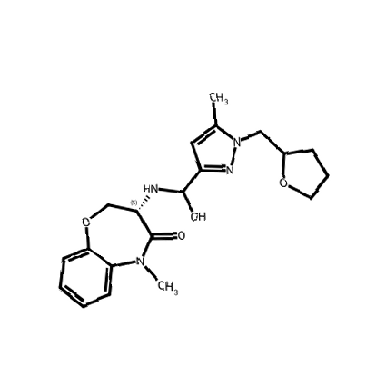 Cc1cc(C(O)N[C@H]2COc3ccccc3N(C)C2=O)nn1CC1CCCO1